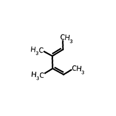 CC=C(C)C(C)=CC